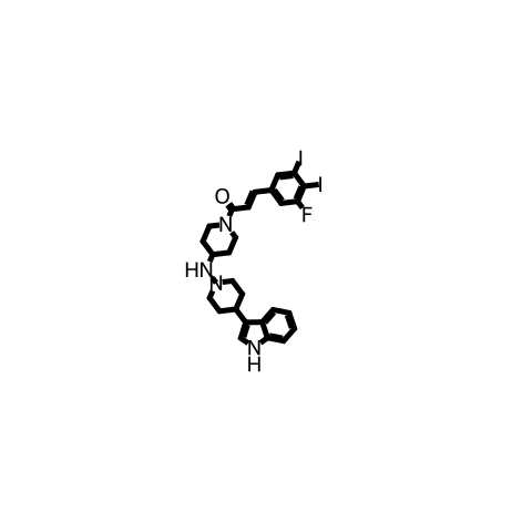 O=C(/C=C/c1cc(F)c(I)c(I)c1)N1CCC(NN2CCC(c3c[nH]c4ccccc34)CC2)CC1